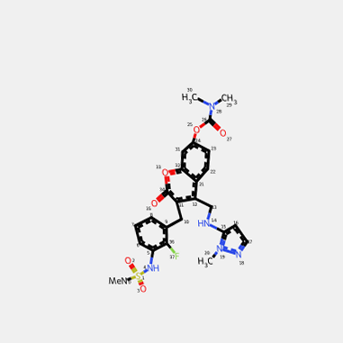 CNS(=O)(=O)Nc1cccc(Cc2c(CNc3ccnn3C)c3ccc(OC(=O)N(C)C)cc3oc2=O)c1F